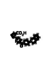 O=C(O)C1CCCN1c1ncc(C(=O)N2CCC(N3CCc4ccccc4C3)CC2)cn1